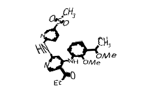 CCC(=O)c1cnc(Nc2ccc(S(C)(=O)=O)cn2)cc1Nc1cccc(C(C)OC)c1OC